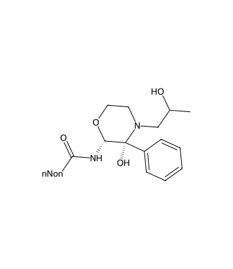 CCCCCCCCCC(=O)N[C@@H]1OCCN(CC(C)O)[C@@]1(O)c1ccccc1